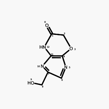 O=C1COc2ncc(CO)nc2N1